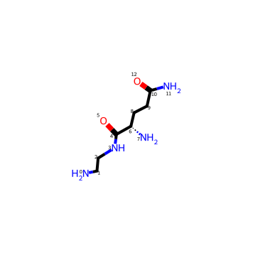 NCCNC(=O)[C@@H](N)CCC(N)=O